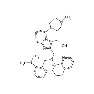 CN1CCN(c2cccc3nc(CN(Cc4ccccc4N(C)C)[C@H]4CCCc5cccnc54)c(CO)n23)CC1